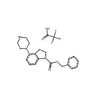 O=C(O)C(F)(F)F.O=C(OCc1ccccc1)N1CCc2c(N3CCNCC3)cccc21